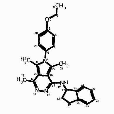 CCOc1ccc(-n2c(C)c3c(C)nnc(NC4CCc5ccccc54)c3c2C)cc1